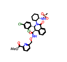 COC(=O)c1cccc(CONC(=O)[C@@H]2c3ccccc3C(=O)N([C@H]3CCCC[C@@H]3NS(C)(=O)=O)[C@H]2c2ccc(Cl)cc2Cl)n1